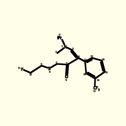 CC(C)N(C)C=C(C(=O)CSCCF)c1cccc(C(F)(F)F)c1